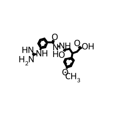 COc1ccc(C(CC(=O)O)CC(=O)NNC(=O)c2cccc(NC(=N)N)c2)cc1